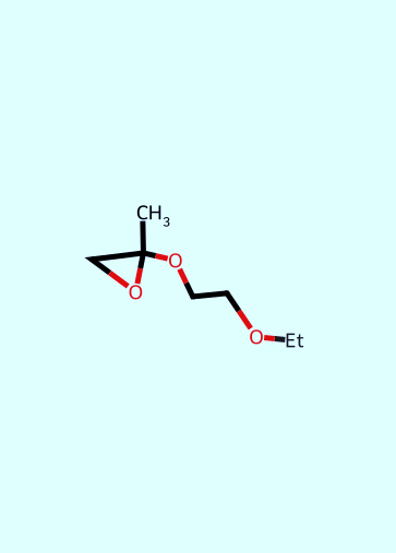 CCOCCOC1(C)CO1